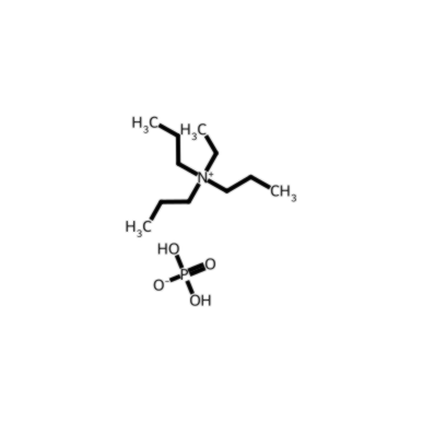 CCC[N+](CC)(CCC)CCC.O=P([O-])(O)O